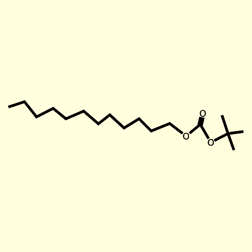 CCCCCCCCCCCCOC(=O)OC(C)(C)C